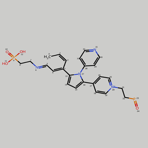 C\C=C/C(=C\C=N\CCP(=O)(O)O)c1ccc(-c2cc[n+](CCP=O)cc2)n1-c1ccncc1